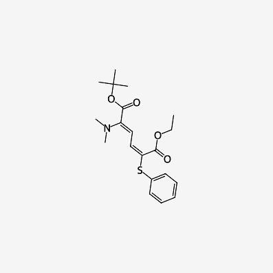 CCOC(=O)C(=CC=C(C(=O)OC(C)(C)C)N(C)C)Sc1ccccc1